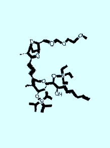 C=CCC/C=C/[C@@H](O)[C@H](O[Si](CC)(CC)CC)[C@@H]1C[C@H](O[Si](C(C)C)(C(C)C)C(C)C)[C@@H](C)[C@@H](C/C=C/[C@@H]2OC3CC(O[C@H]3COCOCCOC)[C@H]2C)O1